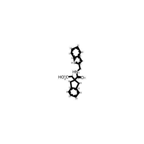 O=C(O)CC1(C(=O)NCc2cc3ccccc3s2)Cc2ccccc2C1